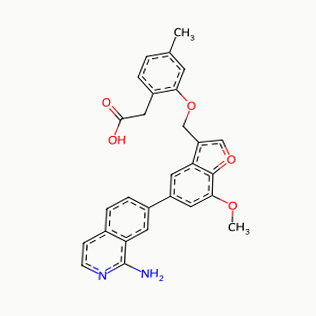 COc1cc(-c2ccc3ccnc(N)c3c2)cc2c(COc3cc(C)ccc3CC(=O)O)coc12